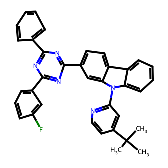 CC(C)(C)c1ccnc(-n2c3ccccc3c3ccc(-c4nc(-c5ccccc5)nc(-c5cccc(F)c5)n4)cc32)c1